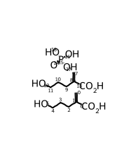 C=C(CCCO)C(=O)O.C=C(CCCO)C(=O)O.O=P(O)(O)O